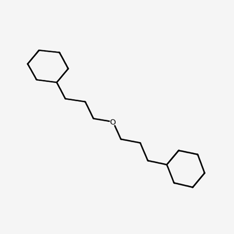 C1CCC(CCCOCCCC2CCCCC2)CC1